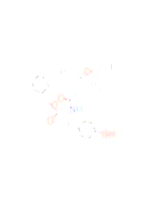 CCOC(C)(C)CCC(=O)N[C@@H](Cc1ccc(O)cc1)C(=O)OCc1ccccc1